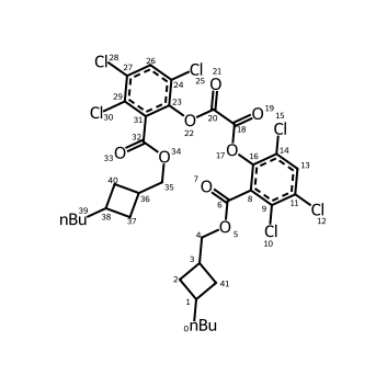 CCCCC1CC(COC(=O)c2c(Cl)c(Cl)cc(Cl)c2OC(=O)C(=O)Oc2c(Cl)cc(Cl)c(Cl)c2C(=O)OCC2CC(CCCC)C2)C1